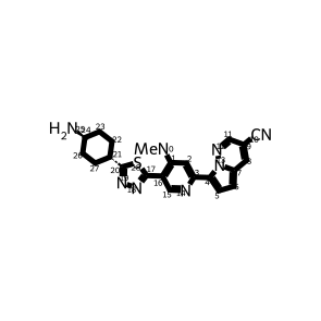 CNc1cc(-c2ccc3cc(C#N)cnn23)ncc1-c1nnc([C@H]2CC[C@H](N)CC2)s1